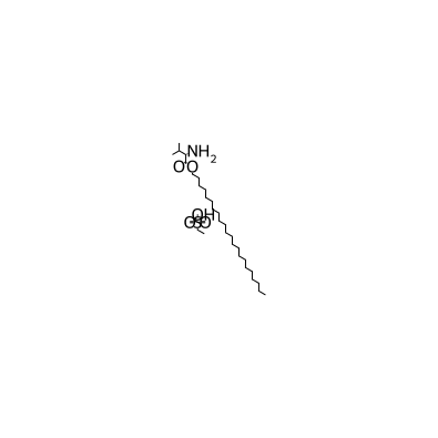 CCCCCCCCCCCCCCCCCCCCCCOC(=O)[C@@H](N)C(C)C.CCS(=O)(=O)O